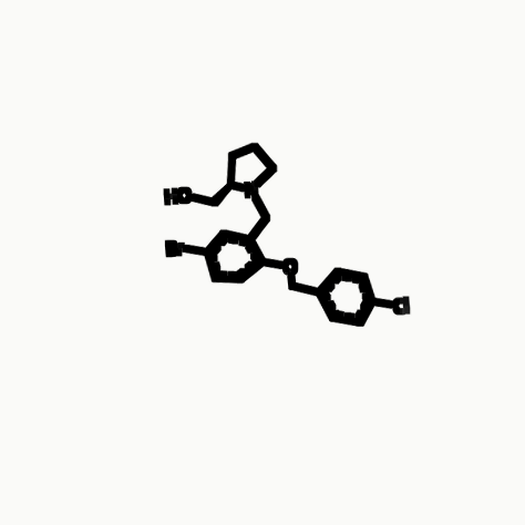 OC[C@H]1CCCN1Cc1cc(Br)ccc1OCc1ccc(Cl)cc1